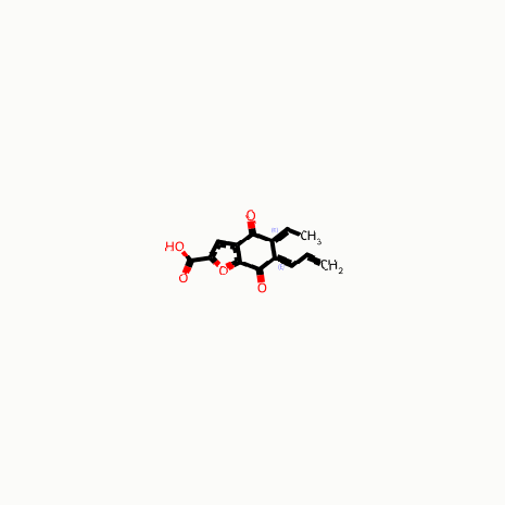 C=C/C=C1/C(=O)c2oc(C(=O)O)cc2C(=O)/C1=C/C